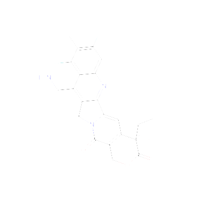 CC[C@@]1(O)C(=O)OCc2c1cc1n(c2=O)Cc2c-1nc1cc(F)c(C)c(F)c1c2CN